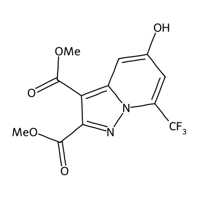 COC(=O)c1nn2c(C(F)(F)F)cc(O)cc2c1C(=O)OC